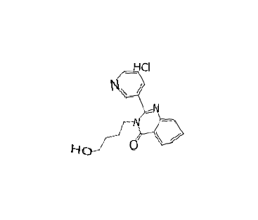 Cl.O=c1c2ccccc2nc(-c2cccnc2)n1CCCCO